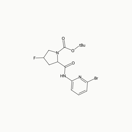 CC(C)(C)OC(=O)N1CC(F)CC1C(=O)Nc1cccc(Br)n1